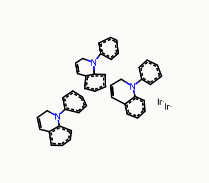 C1=Cc2ccccc2N(c2ccccc2)C1.C1=Cc2ccccc2N(c2ccccc2)C1.C1=Cc2ccccc2N(c2ccccc2)C1.[Ir].[Ir]